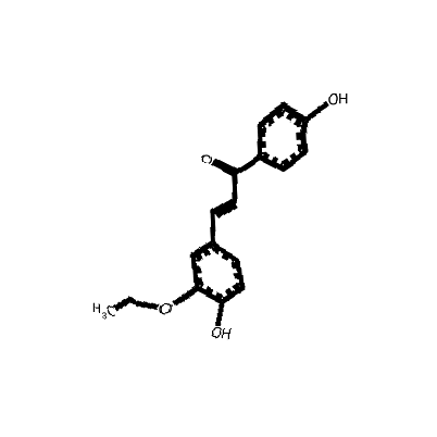 CCOc1cc(C=CC(=O)c2ccc(O)cc2)ccc1O